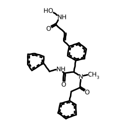 CN(C(=O)Cc1ccccc1)C(C(=O)NCc1ccccc1)c1cccc(/C=C/C(=O)NO)c1